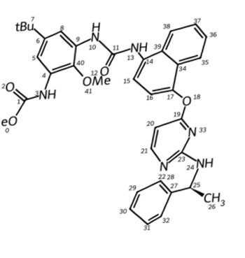 COC(=O)Nc1cc(C(C)(C)C)cc(NC(=O)Nc2ccc(Oc3ccnc(N[C@@H](C)c4ccccc4)n3)c3ccccc23)c1OC